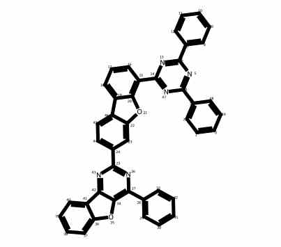 c1ccc(-c2nc(-c3ccccc3)nc(-c3cccc4c3oc3cc(-c5nc(-c6ccccc6)c6oc7ccccc7c6n5)ccc34)n2)cc1